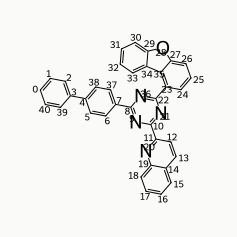 c1ccc(-c2ccc(-c3nc(-c4ccc5ccccc5n4)nc(-c4cccc5oc6ccccc6c45)n3)cc2)cc1